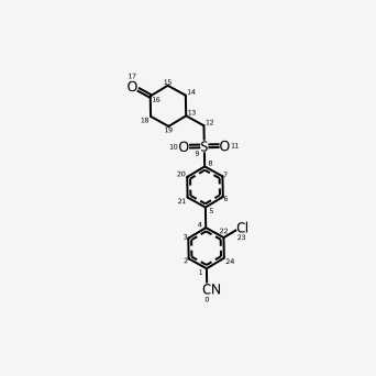 N#Cc1ccc(-c2ccc(S(=O)(=O)CC3CCC(=O)CC3)cc2)c(Cl)c1